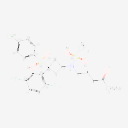 COC(=O)CCCN(C1CC(c2cc(F)ccc2F)(S(=O)(=O)c2ccc(Cl)cc2)C1)S(=O)(=O)C(F)(F)F